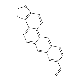 C=Cc1ccc2cc3c(ccc4c5ccsc5ccc34)cc2c1